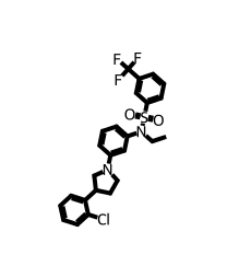 CCN(c1cccc(N2CCC(c3ccccc3Cl)C2)c1)S(=O)(=O)c1cccc(C(F)(F)F)c1